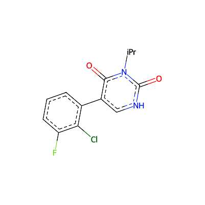 CC(C)n1c(=O)[nH]cc(-c2cccc(F)c2Cl)c1=O